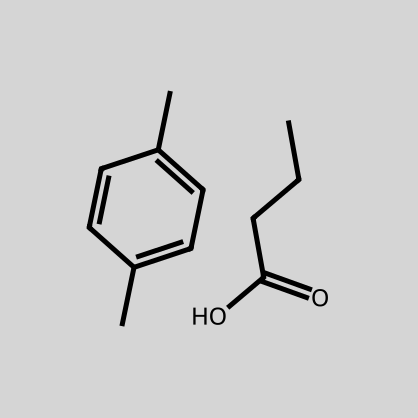 CCCC(=O)O.Cc1ccc(C)cc1